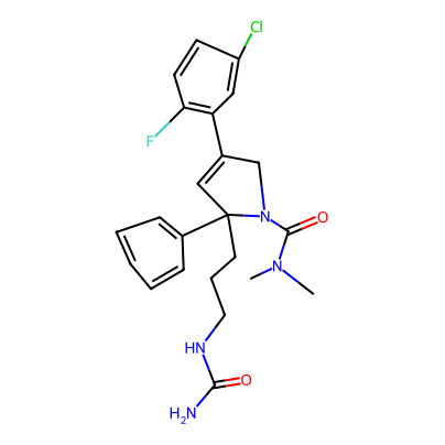 CN(C)C(=O)N1CC(c2cc(Cl)ccc2F)=CC1(CCCNC(N)=O)c1ccccc1